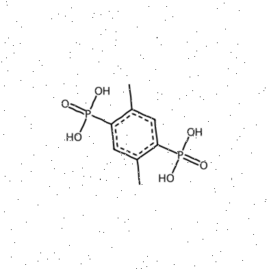 Cc1cc(P(=O)(O)O)c(C)cc1P(=O)(O)O